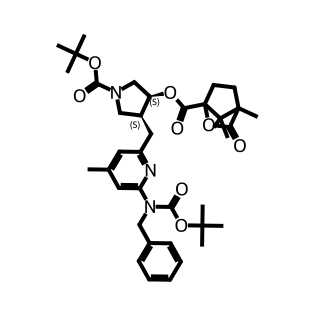 Cc1cc(C[C@H]2CN(C(=O)OC(C)(C)C)C[C@H]2OC(=O)C23CCC(C)(C(=O)O2)C3(C)C)nc(N(Cc2ccccc2)C(=O)OC(C)(C)C)c1